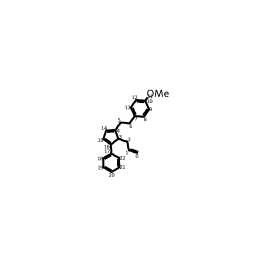 C=CCC1C(CCc2ccc(OC)cc2)=CC=C1c1ccccc1